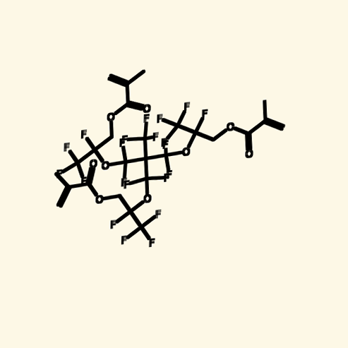 C=C(C)C(=O)OCC(F)(OC(F)(F)C(C(F)(F)F)(C(F)(F)OC(F)(COC(=O)C(=C)C)C(F)(F)F)C(F)(F)OC(F)(COC(=O)C(=C)C)C(F)(F)F)C(F)(F)F